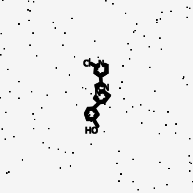 OCc1cccc(-c2ccc3nc(-c4ccnc(Cl)c4)cn3c2)c1